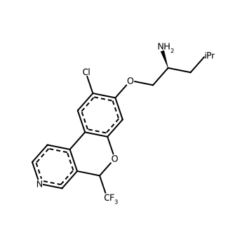 CC(C)C[C@H](N)COc1cc2c(cc1Cl)-c1ccncc1C(C(F)(F)F)O2